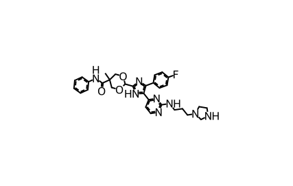 CC1(C(=O)Nc2ccccc2)COC(c2nc(-c3ccc(F)cc3)c(-c3ccnc(NCCCN4CCNC4)n3)[nH]2)OC1